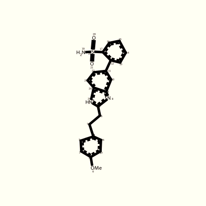 COc1ccc(CCc2nc3cc(-c4ccccc4S(N)(=O)=O)ccc3[nH]2)cc1